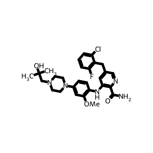 COc1cc(N2CCN(CC(C)(C)O)CC2)ccc1Nc1cc(Cc2c(F)cccc2Cl)cnc1C(N)=O